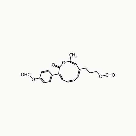 Cc1cc(CCCOC=O)ccccc(-c2ccc(OC=O)cc2)c(=O)o1